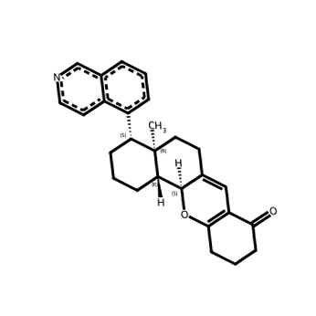 C[C@]12CCC3=CC4=C(CCCC4=O)O[C@H]3[C@@H]1CCC[C@@H]2c1cccc2cnccc12